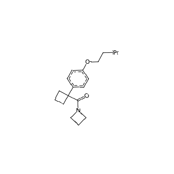 CC(C)CCOc1ccc(C2(C(=O)N3CCC3)CCC2)cc1